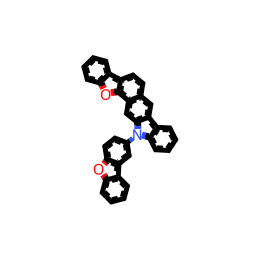 c1ccc2c(c1)oc1ccc(-n3c4ccccc4c4cc5ccc6c7ccccc7oc6c5cc43)cc12